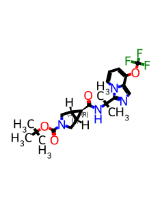 CC(C)(C)OC(=O)N1C[C@@H]2[C@H](C1)[C@H]2C(=O)NC(C)(C)c1ncc2c(OC(F)(F)F)cccn12